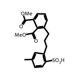 COC(=O)c1cccc(CCCc2cc(C)ccc2S(=O)(=O)O)c1C(=O)OC